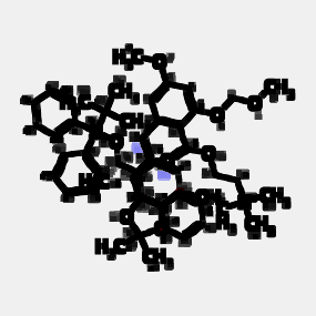 COCOc1cc(OC)cc(/C=C/C[C@@H]2OC(C)(C)O[C@@H]2C(O)/C=C\C(Cc2ccccc2)[C@H](C)O[Si](c2ccccc2)(c2ccccc2)C(C)(C)C)c1C(=O)OCC[Si](C)(C)C